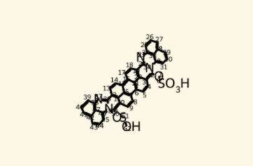 O=S(=O)(O)OC1=c2ccc3c4ccc5c6c(ccc(c7ccc(c2c73)C2=Nc3cccc7cccc(c37)N21)c64)C1=Nc2cccc3cccc(c23)N1C=5OSO